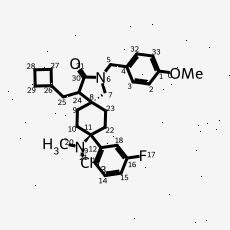 COc1ccc(CN2C[C@]3(CC[C@](c4cccc(F)c4)(N(C)C)CC3)C(CC3CCC3)C2=O)cc1